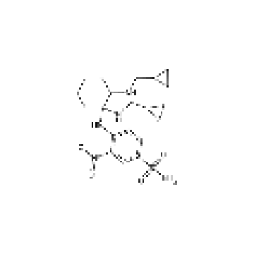 NS(=O)(=O)c1ccc(NC2(NCC3CC3)CCCCC2NCC2CC2)c([N+](=O)[O-])c1